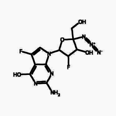 [N-]=[N+]=NC1(CO)OC(n2cc(F)c3c(O)nc(N)nc32)C(F)C1O